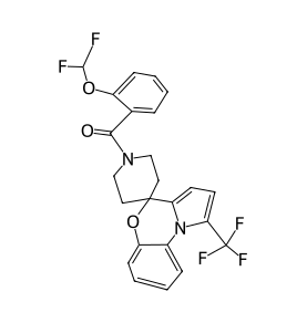 O=C(c1ccccc1OC(F)F)N1CCC2(CC1)Oc1ccccc1-n1c(C(F)(F)F)ccc12